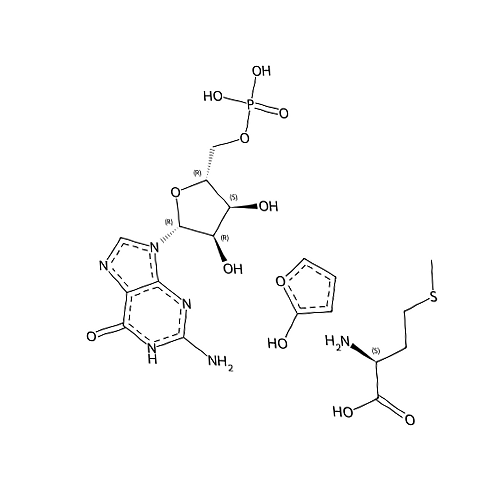 CSCC[C@H](N)C(=O)O.Nc1nc2c(ncn2[C@@H]2O[C@H](COP(=O)(O)O)[C@@H](O)[C@H]2O)c(=O)[nH]1.Oc1ccco1